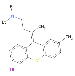 CCN(CC)CCC(C)=C1c2ccccc2Sc2ccc(C)cc21.I